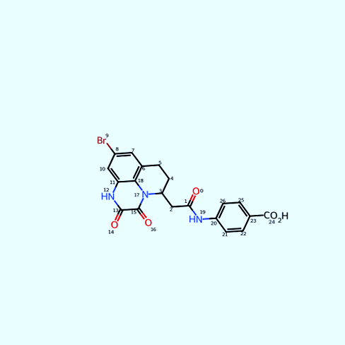 O=C(CC1CCc2cc(Br)cc3[nH]c(=O)c(=O)n1c23)Nc1ccc(C(=O)O)cc1